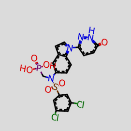 O=c1ccc(-n2ccc3cc(N(CP(=O)(O)O)S(=O)(=O)c4cc(Cl)cc(Cl)c4)ccc32)n[nH]1